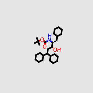 CC(C)(C)OC(=O)N[C@@H](CC1CCCCC1)[C@@H](O)CC(C1CCCCC1)C1CCCCC1